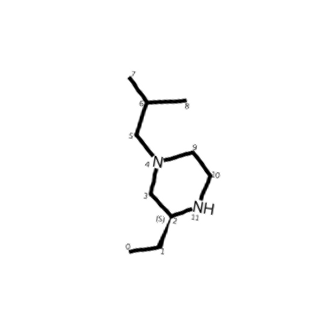 CC[C@H]1CN(C[C](C)C)CCN1